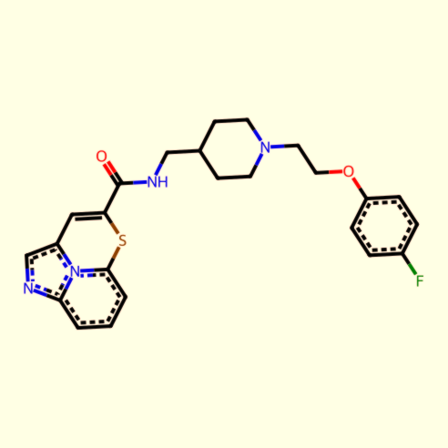 O=C(NCC1CCN(CCOc2ccc(F)cc2)CC1)C1=Cc2cnc3cccc(n23)S1